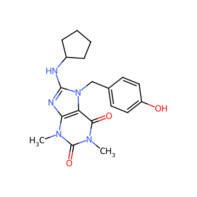 Cn1c(=O)c2c(nc(NC3CCCC3)n2Cc2ccc(O)cc2)n(C)c1=O